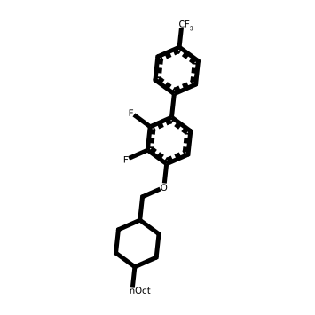 CCCCCCCCC1CCC(COc2ccc(-c3ccc(C(F)(F)F)cc3)c(F)c2F)CC1